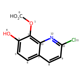 O=C(O)Oc1c(O)ccc2ccc(Cl)nc12